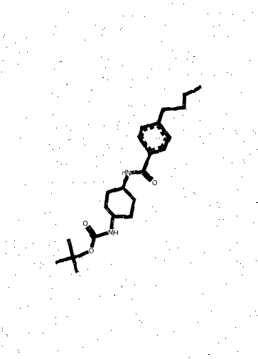 CCCCc1ccc(C(=O)NC2CCC(NC(=O)OC(C)(C)C)CC2)cc1